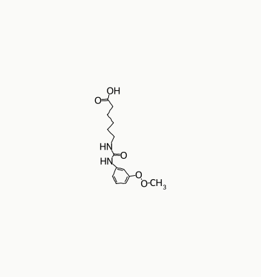 COOc1cccc(NC(=O)NCCCCCC(=O)O)c1